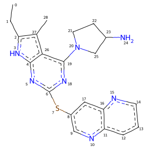 CCc1[nH]c2nc(Sc3cnc4cccnc4c3)nc(N3CCC(N)C3)c2c1C